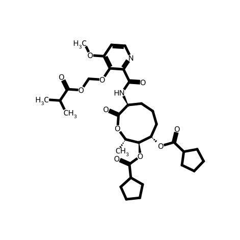 COc1ccnc(C(=O)N[C@H]2CCC[C@H](OC(=O)C3CCCC3)[C@@H](OC(=O)C3CCCC3)[C@H](C)OC2=O)c1OCOC(=O)C(C)C